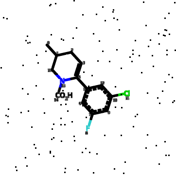 CC1CC=C(c2cc(F)cc(Cl)c2)N(C(=O)O)C1